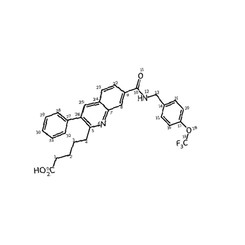 O=C(O)CCCCc1nc2cc(C(=O)NCc3ccc(OC(F)(F)F)cc3)ccc2cc1-c1ccccc1